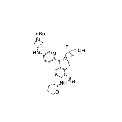 CCCCN1CC(Nc2ccc(C3c4ccc(NC5CCCCO5)c(C=N)c4CCN3CC(F)(F)CO)nc2)C1